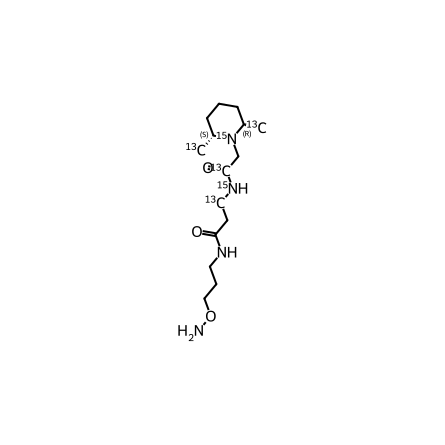 [13CH3][C@@H]1CCC[C@H]([13CH3])[15N]1C[13C](=O)[15NH][13CH2]CC(=O)NCCCON